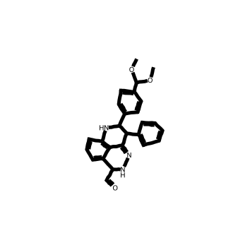 COC(OC)c1ccc(C2Nc3cccc4c3C(=NNC4C=O)C2c2ccccc2)cc1